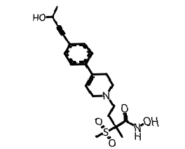 CC(O)C#Cc1ccc(C2=CCN(CCC(C)(C(=O)NO)S(C)(=O)=O)CC2)cc1